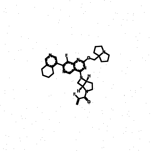 C=C(F)C(=O)N1CC[C@@H]2[C@H]1CN2c1nc(OCC23CCCN2CCC3)nc2c(F)c(-c3cncc4c3CCCC4)ncc12